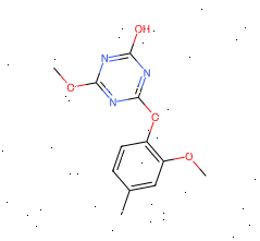 COc1nc(O)nc(Oc2ccc(C)cc2OC)n1